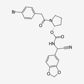 N#CC(NC(=O)O[C@H]1CCCN1C(=O)Cc1ccc(Br)cc1)c1ccc2c(c1)OCO2